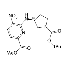 COC(=O)c1ccc([N+](=O)[O-])c(N[C@H]2CCN(C(=O)OC(C)(C)C)C2)n1